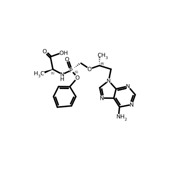 C[C@H](Cn1cnc2c(N)ncnc21)OC[P@@](=O)(N[C@@H](C)C(=O)O)Oc1ccccc1